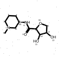 CN1CCC[C@@H](NC(=O)C2OCC(O)C2O)C1